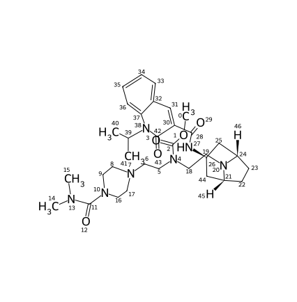 COC(=O)N(CCN1CCN(C(=O)N(C)C)CC1)CCN1[C@@H]2CC[C@H]1C[C@H](NC(=O)c1cc3ccccc3n(C(C)C)c1=O)C2